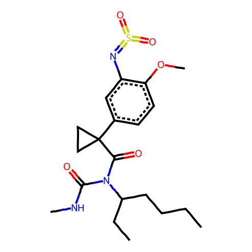 CCCCC(CC)N(C(=O)NC)C(=O)C1(c2ccc(OC)c(N=S(=O)=O)c2)CC1